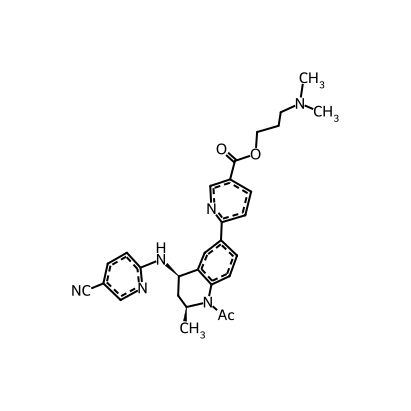 CC(=O)N1c2ccc(-c3ccc(C(=O)OCCCN(C)C)cn3)cc2[C@H](Nc2ccc(C#N)cn2)C[C@@H]1C